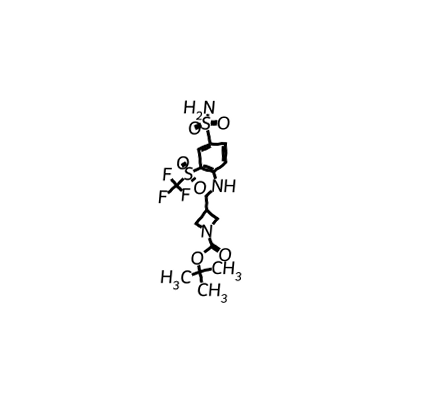 CC(C)(C)OC(=O)N1CC(CNc2ccc(S(N)(=O)=O)cc2S(=O)(=O)C(F)(F)F)C1